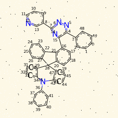 c1ccc(-c2nnc(-c3cccnc3)nc2-c2cccc3c2-c2ccccc2C32c3ccccc3N(c3ccccc3)c3ccccc32)cc1